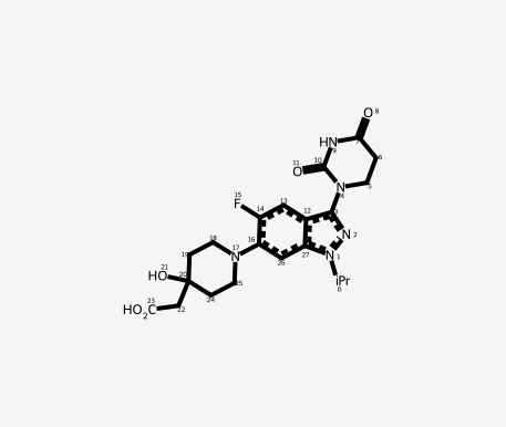 CC(C)n1nc(N2CCC(=O)NC2=O)c2cc(F)c(N3CCC(O)(CC(=O)O)CC3)cc21